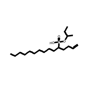 C=CCCC(CCCCCCCCCC)P(=O)(O)OC(C)CC